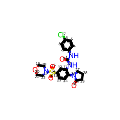 O=C(Nc1ccc(Cl)cc1)Nc1cc(S(=O)(=O)N2CCOCC2)ccc1N1CCCC1=O